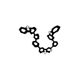 c1cc(-c2cccc(-c3ccc4oc5cnc(-c6cccc(-c7ccc8oc9ccccc9c8c7)c6)cc5c4c3)c2)cc(-c2ccc3oc4ccccc4c3c2)c1